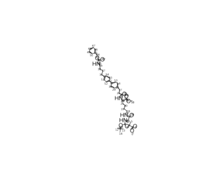 COC(=O)CC[C@H](NC(=O)OC(C)(C)C)C(=O)NCCCC[C@H](NC(=O)CCc1ccc(-c2ccc(CCCCNC(=O)OCc3ccccc3)cc2)cc1)C(=O)OC